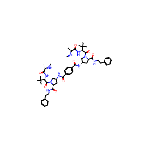 CN[C@@H](C)C(=O)N[C@H](C(=O)N1C[C@@H](NC(=O)c2ccc(C(=O)N[C@H]3C[C@@H](C(=O)NCCc4ccccc4)N(C(=O)[C@@H](NC(=O)[C@H](C)NC)C(C)(C)C)C3)cc2)CC1C(=O)NCCc1ccccc1)C(C)(C)C